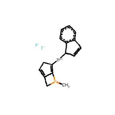 CP1CC2=CC[C]([Zr+2][CH]3C=Cc4ccccc43)=C21.[F-].[F-]